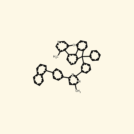 Cc1cc(-c2ccc(-c3cccc4ccccc34)cc2)nc(-c2cccc(C3(c4ccccc4)c4ccccc4-c4c(-c5c(C)cncc5C)cccc43)c2)n1